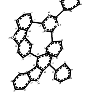 c1ccc(-c2nc(-c3ccccc3)nc(-c3cccc4oc5ccc(-c6ccc(-c7ccccc7)c7sc8ccccc8c67)cc5c34)n2)cc1